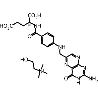 C[N+](C)(C)CCO.Nc1nc2ncc(CNc3ccc(C(=O)N[C@@H](CCC(=O)O)C(=O)O)cc3)nc2c(=O)[nH]1